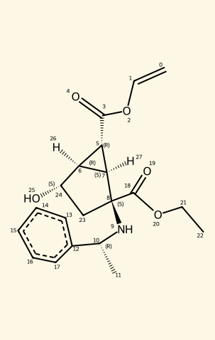 C=COC(=O)[C@H]1[C@H]2[C@@H]1[C@](N[C@H](C)c1ccccc1)(C(=O)OCC)C[C@@H]2O